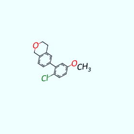 COc1ccc(Cl)c(-c2ccc3c(c2)CCOC3)c1